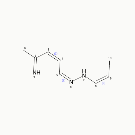 CC(=N)/C=C\C=N/N/C=C\I